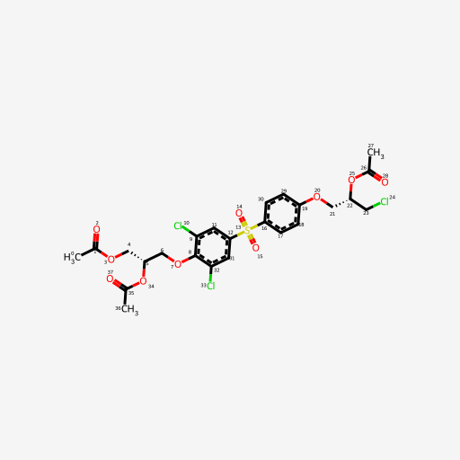 CC(=O)OC[C@H](COc1c(Cl)cc(S(=O)(=O)c2ccc(OC[C@@H](CCl)OC(C)=O)cc2)cc1Cl)OC(C)=O